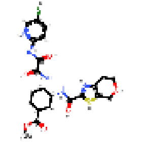 CC(C)(C)OC(=O)[C@H]1CC[C@H](NC(=O)C(=O)Nc2ccc(Cl)cn2)[C@H](NC(=O)c2nc3c(s2)COCC3)C1